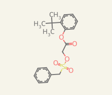 CC(C)(C)c1ccccc1OC(=O)COS(=O)(=O)Cc1ccccc1